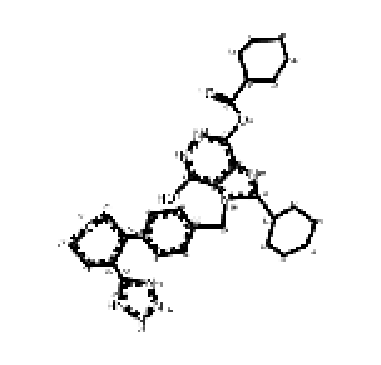 O=C(Oc1nnc(O)c2c1nc(C1CCCCC1)n2Cc1ccc(-c2ccccc2-c2nnn[nH]2)cc1)C1CCCCC1